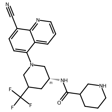 N#Cc1ccc(N2CC(C(F)(F)F)C[C@@H](NC(=O)C3CCCNC3)C2)c2cccnc12